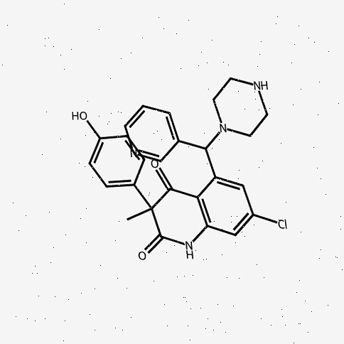 CC1(c2ccc(O)cc2)C(=O)Nc2cc(Cl)cc(C(c3cccnc3)N3CCNCC3)c2C1=O